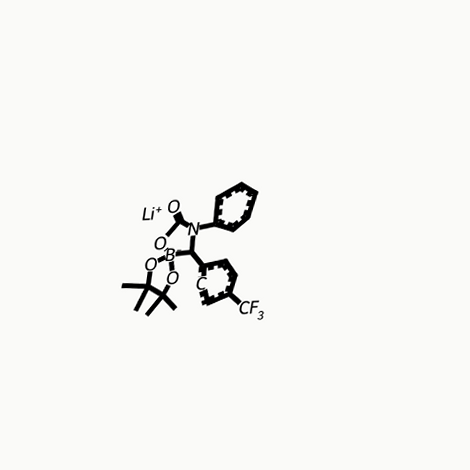 CC1(C)O[B-]2(OC(=O)N(c3ccccc3)C2c2ccc(C(F)(F)F)cc2)OC1(C)C.[Li+]